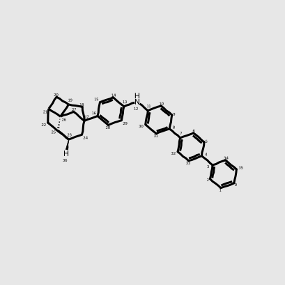 c1ccc(-c2ccc(-c3ccc(Nc4ccc(C56CC7CC8C[C@@H](C5)C[C@]87C6)cc4)cc3)cc2)cc1